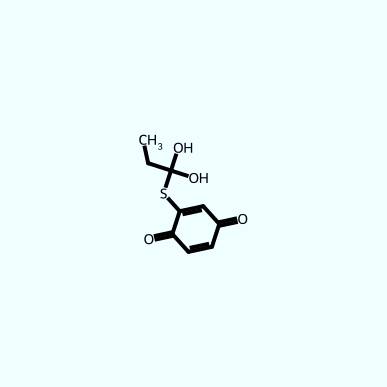 CCC(O)(O)SC1=CC(=O)C=CC1=O